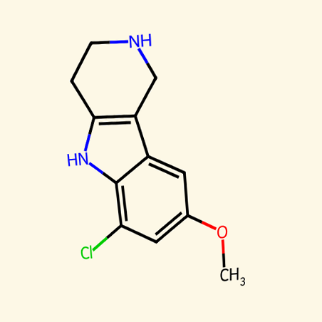 COc1cc(Cl)c2[nH]c3c(c2c1)CNCC3